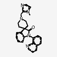 Cn1ccnc1CN1CCC2(CC1)C(=O)N(c1cccc3cccnc13)c1ccccc12